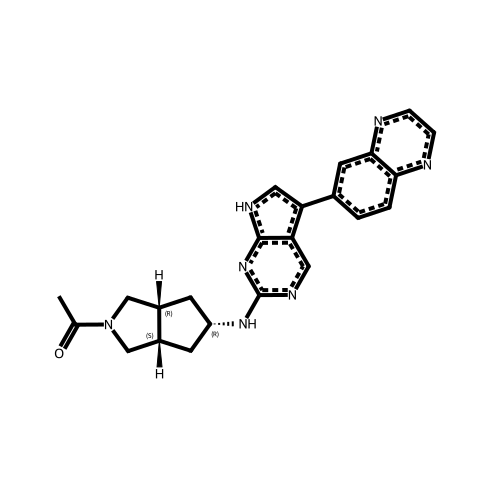 CC(=O)N1C[C@H]2C[C@@H](Nc3ncc4c(-c5ccc6nccnc6c5)c[nH]c4n3)C[C@H]2C1